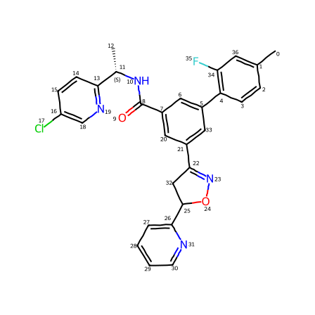 Cc1ccc(-c2cc(C(=O)N[C@@H](C)c3ccc(Cl)cn3)cc(C3=NOC(c4ccccn4)C3)c2)c(F)c1